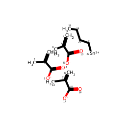 C=C(C)C(=O)[O-].C=C(C)C(=O)[O-].C=C(C)C(=O)[O-].CCC[CH2][Sn+3]